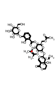 C=C[C@H]1[C@H](O[C@@H]2O[C@H](COC(C)=O)[C@@H](OC(=O)c3cccc(O[C@@H]4O[C@H](CO)[C@@H](O)[C@H](O)[C@H]4O)c3O)[C@H](OC(C)=O)[C@H]2OC(C)=O)OC=C2C(=O)OCC[C@]21O